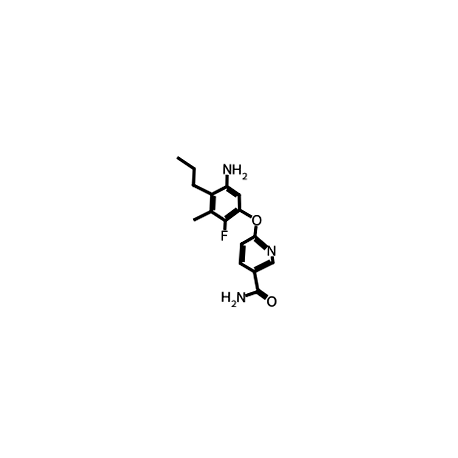 CCCc1c(N)cc(Oc2ccc(C(N)=O)cn2)c(F)c1C